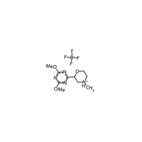 COc1nc(OC)nc(C2C[NH+](C)CCO2)n1.F[B-](F)(F)F